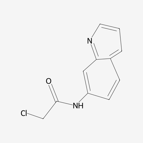 O=C(CCl)Nc1ccc2cccnc2c1